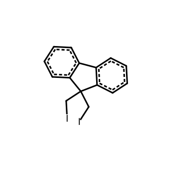 ICC1(CI)c2ccccc2-c2ccccc21